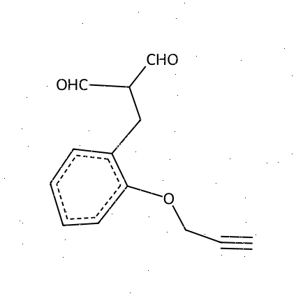 C#CCOc1ccccc1CC(C=O)C=O